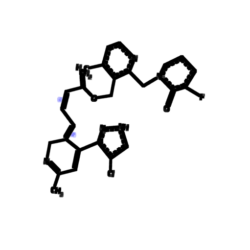 C=C(/C=C\C=C1/CN=C(C)C=C1c1n[nH]cc1Cl)OCc1c(C)ccnc1Cn1cccc(F)c1=O